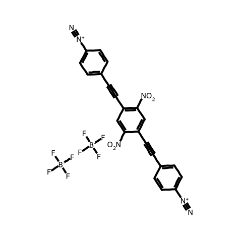 F[B-](F)(F)F.F[B-](F)(F)F.N#[N+]c1ccc(C#Cc2cc([N+](=O)[O-])c(C#Cc3ccc([N+]#N)cc3)cc2[N+](=O)[O-])cc1